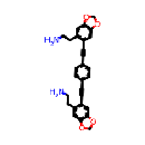 NCCc1cc2c(cc1C#Cc1ccc(C#Cc3cc4c(cc3CCN)OCO4)cc1)OCO2